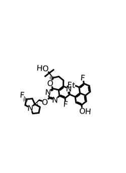 CCc1c(F)ccc2cc(O)cc(-c3nc4c5c(nc(OC[C@@]67CCCN6C[C@H](F)C7)nc5c3F)O[C@@H](C(C)(C)O)CC4)c12